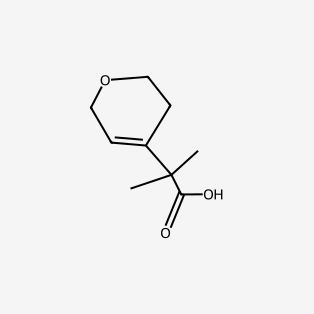 CC(C)(C(=O)O)C1=CCOCC1